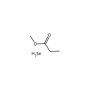 CCC(=O)OC.[SeH2]